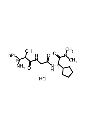 CCC[C@H](N)C(O)C(=O)NCC(=O)N[C@H](C(=O)N(C)C)C1CCCC1.Cl